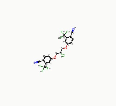 N#Cc1ccc(OCC(Cl)COc2ccc(C#N)c(C(F)(F)F)c2)cc1C(F)(F)F